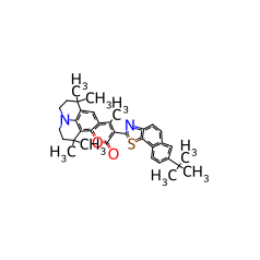 Cc1c(-c2nc3ccc4cc(C(C)(C)C)ccc4c3s2)c(=O)oc2c3c4c(cc12)C(C)(C)CCN4CCC3(C)C